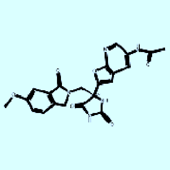 COc1ccc2c(c1)C(=O)N(C[C@@]1(c3cc4cc(NC(C)=O)cnc4o3)NC(=O)NC1=O)C2